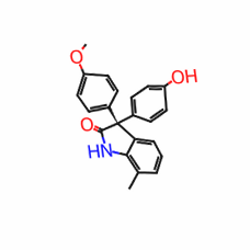 COc1ccc([C@]2(c3ccc(O)cc3)C(=O)Nc3c(C)cccc32)cc1